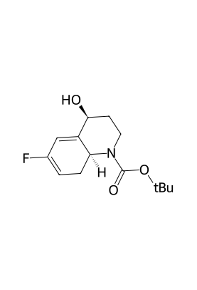 CC(C)(C)OC(=O)N1CC[C@H](O)C2=CC(F)=CC[C@@H]21